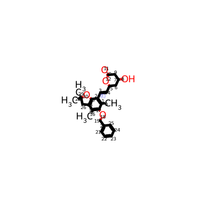 Cc1c(/C=C/C2CC(O)CC(=O)O2)c2c(c(C)c1OCc1ccccc1)CC(C)(C)O2